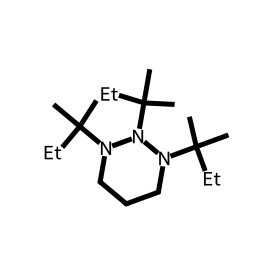 CCC(C)(C)N1CCCN(C(C)(C)CC)N1C(C)(C)CC